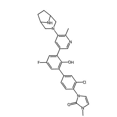 Cc1ncc(-c2cc(F)cc(-c3ccc(-n4ccn(C)c4=O)c(Cl)c3)c2O)cc1N1CC2CCC(C1)N2